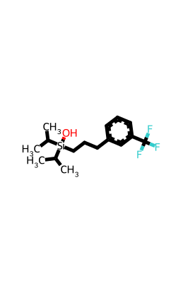 CC(C)[Si](O)(CCCc1cccc(C(F)(F)F)c1)C(C)C